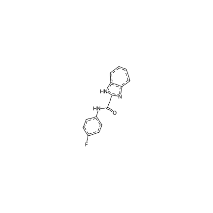 O=C(Nc1ccc(F)cc1)c1nc2ccccc2[nH]1